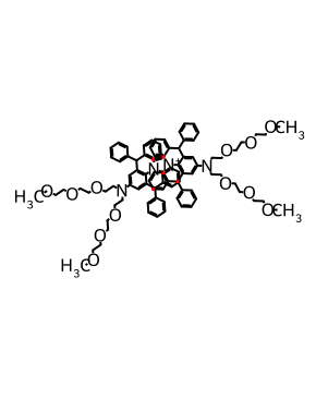 COCCOCCOCCN(CCOCCOCCOC)c1cc(C(c2ccccc2)c2ccccc2)c(-n2cc[n+](-c3c(C(c4ccccc4)c4ccccc4)cc(N(CCOCCOCCOC)CCOCCOCCOC)cc3C(c3ccccc3)c3ccccc3)c2)c(C(c2ccccc2)c2ccccc2)c1